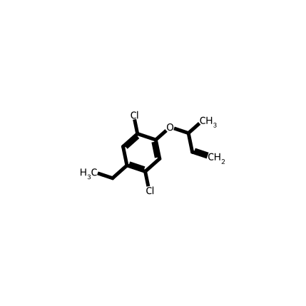 C=CC(C)Oc1cc(Cl)c(CC)cc1Cl